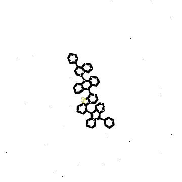 c1ccc(-c2ccc(-c3c4ccccc4c(-c4cccc5c4sc4cccc(-c6c7ccccc7c(-c7ccccc7)c7ccccc67)c45)c4ccccc34)c3ccccc23)cc1